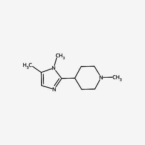 Cc1cnc(C2CCN(C)CC2)n1C